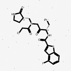 CC(C)C[C@H](NC(=O)c1cc2c(F)cccc2s1)C(=O)CN(C[C@@H]1CCNC1=O)C(=O)CCl